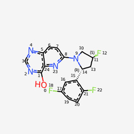 Oc1ncnc2ccc(N3C[C@@H](F)C[C@@H]3c3cc(F)ccc3F)nc12